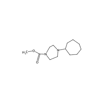 COC(=O)N1CCN(C2CCCCCC2)CC1